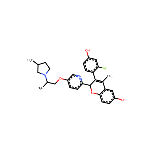 CC1=C(c2ccc(O)cc2F)C(c2ccc(OCC(C)N3CCC(C)C3)cn2)Oc2ccc(O)cc21